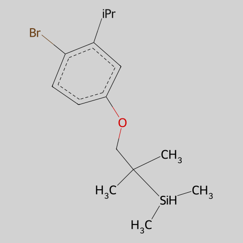 CC(C)c1cc(OCC(C)(C)[SiH](C)C)ccc1Br